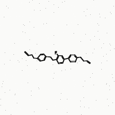 C=CCCc1ccc(CCc2ccc(-c3ccc(CCC=C)cc3)cc2F)cc1